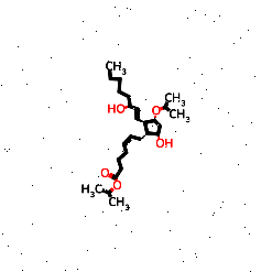 CCCCC[C@H](O)/C=C/[C@@H]1[C@@H](C/C=C\CCCC(=O)OC(C)C)[C@@H](O)C[C@H]1OC(C)C